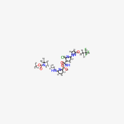 CC(C)(C)OC(=O)N1C[C@@H](CCCNc2cccc(S(=O)(=O)NC(=O)c3ccc(-n4ccc(OCC(C)(C)C(F)(F)F)n4)nc3Cl)n2)CC1(C)C